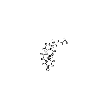 CC(C)CCCC(C)[C@H]1CCC2C3=CCC4CC(=O)CC[C@]4(C)C3CC[C@@]21C